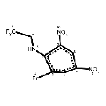 O=[N+]([O-])c1cc(Br)c(NCC(F)(F)F)c([N+](=O)[O-])c1